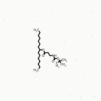 CCCCCCCC(CCCCCCC)OC(=O)CCNC(=O)OC(C)(C)C